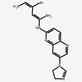 CC(C)C(=C/N)/C=C(\N)Nc1ccc2ncc(N3C=NCC3)cc2n1